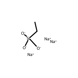 CC[Si]([O-])([O-])[O-].[Na+].[Na+].[Na+]